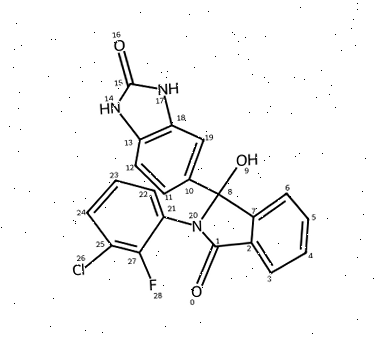 O=C1c2ccccc2C(O)(c2ccc3[nH]c(=O)[nH]c3c2)N1c1cccc(Cl)c1F